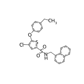 CCc1ccc(Oc2sc(S(=O)(=O)NCc3cccc4ccccc34)cc2Cl)cc1